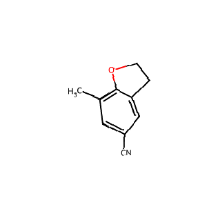 Cc1cc(C#N)cc2c1OCC2